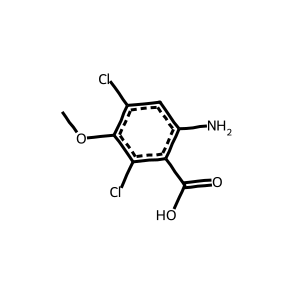 COc1c(Cl)cc(N)c(C(=O)O)c1Cl